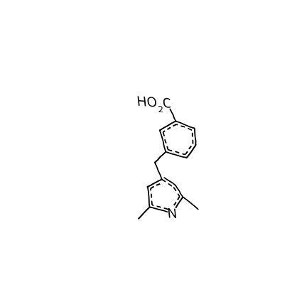 Cc1cc(Cc2cccc(C(=O)O)c2)cc(C)n1